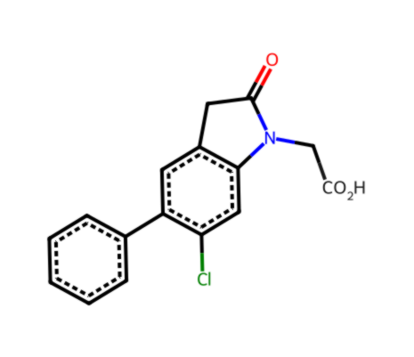 O=C(O)CN1C(=O)Cc2cc(-c3ccccc3)c(Cl)cc21